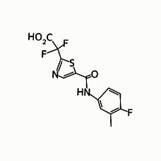 Cc1cc(NC(=O)c2cnc(C(F)(F)C(=O)O)s2)ccc1F